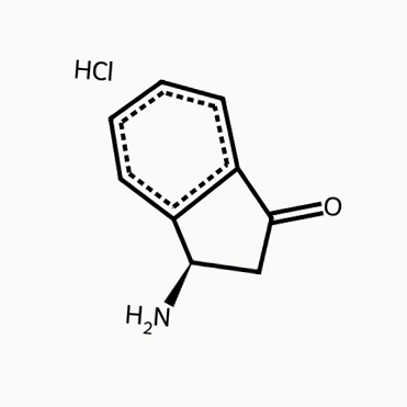 Cl.N[C@@H]1CC(=O)c2ccccc21